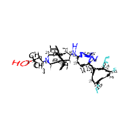 CC(C)(O)CCN1C[C@H]2CC(Nc3ccc(-c4cc(F)cc(F)c4F)nn3)C[C@H]2C1